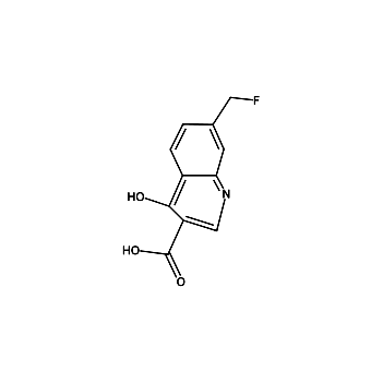 O=C(O)c1cnc2cc(CF)ccc2c1O